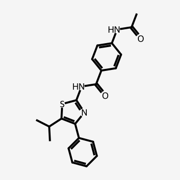 CC(=O)Nc1ccc(C(=O)Nc2nc(-c3ccccc3)c(C(C)C)s2)cc1